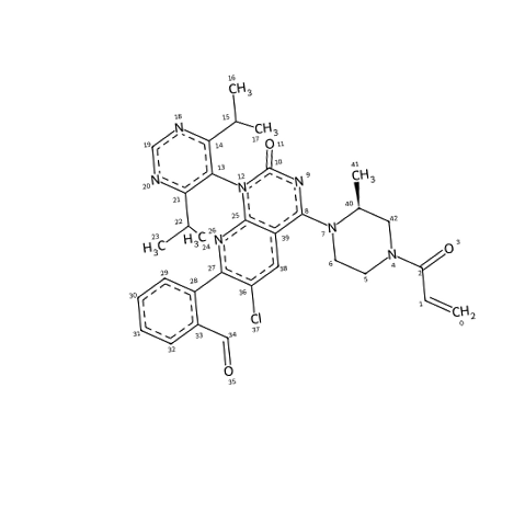 C=CC(=O)N1CCN(c2nc(=O)n(-c3c(C(C)C)ncnc3C(C)C)c3nc(-c4ccccc4C=O)c(Cl)cc23)[C@@H](C)C1